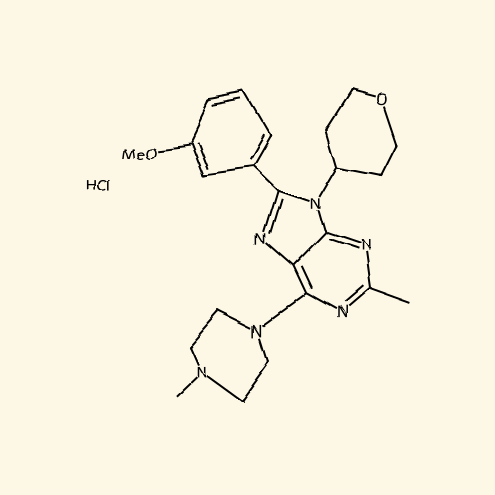 COc1cccc(-c2nc3c(N4CCN(C)CC4)nc(C)nc3n2C2CCOCC2)c1.Cl